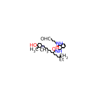 C=C(CC)CCCC(CCCCC/C=C1/CCC(O)=C(C)C1C)C(=O)NCCc1ccccc1C(=O)NCCCCC=O